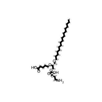 CCCCCCCCCCCCCCCCCCOC[C@H](COP(=O)(O)OCCN)OCCCCC(=O)O